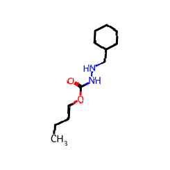 CCCCOC(=O)NNCC1CCCCC1